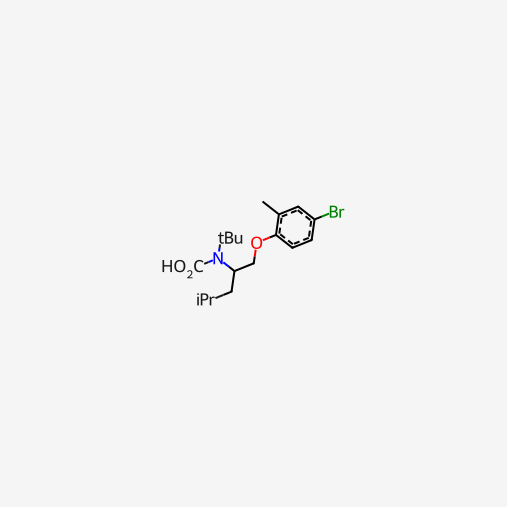 Cc1cc(Br)ccc1OCC(CC(C)C)N(C(=O)O)C(C)(C)C